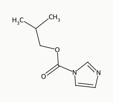 CC(C)COC(=O)n1ccnc1